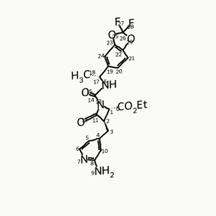 CCOC(=O)[C@@H]1[C@@H](Cc2ccnc(N)c2)C(=O)N1C(=O)N[C@H](C)c1ccc2c(c1)OC(F)(F)O2